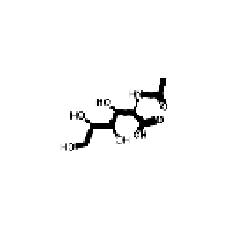 CC(=O)N[C@@H](C(=O)O)[C@H](O)[C@@H](O)[C@H](O)CO